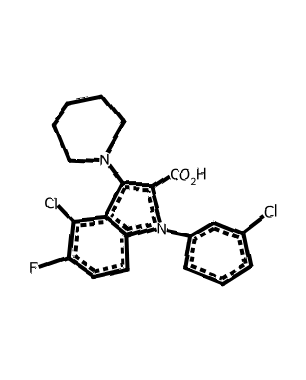 O=C(O)c1c(N2CCCCC2)c2c(Cl)c(F)ccc2n1-c1cccc(Cl)c1